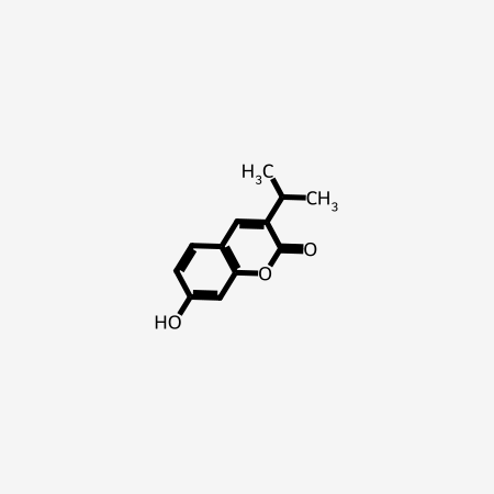 CC(C)c1cc2ccc(O)cc2oc1=O